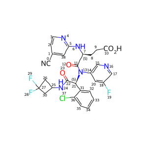 N#Cc1ccnc(N[C@@H](CCC(=O)O)C(=O)N(c2cncc(F)c2)[C@H](C(=O)NC2CC(F)(F)C2)c2ccccc2Cl)c1